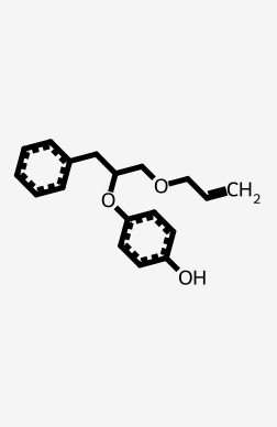 C=CCOCC(Cc1ccccc1)Oc1ccc(O)cc1